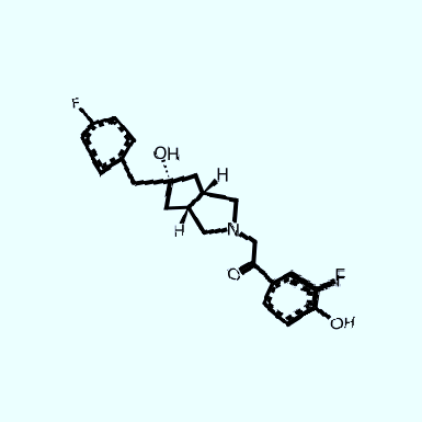 O=C(CN1C[C@@H]2C[C@@](O)(Cc3ccc(F)cc3)C[C@@H]2C1)c1ccc(O)c(F)c1